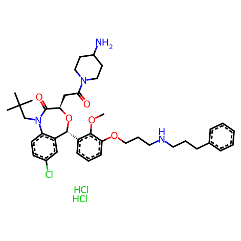 COc1c(OCCCNCCCc2ccccc2)cccc1[C@H]1O[C@H](CC(=O)N2CCC(N)CC2)C(=O)N(CC(C)(C)C)c2ccc(Cl)cc21.Cl.Cl